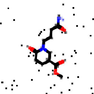 COC(=O)[C@H]1CCC(=O)N(CCCC(N)=O)C1